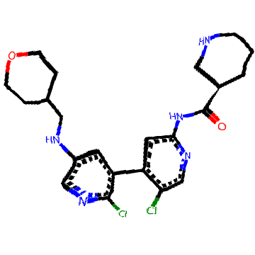 O=C(Nc1cc(-c2cc(NCC3CCOCC3)cnc2Cl)c(Cl)cn1)[C@@H]1CCCNC1